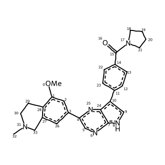 COc1cc(-c2cnc3[nH]cc(-c4ccc(C(=O)N5CCCC5)cc4)c3n2)cc2c1CCN(C)C2